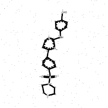 O=Cc1ccc(Nc2nccc(-c3ccc(S(=O)(=O)N4CCOCC4)cc3)n2)cc1